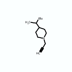 C#CCN1CCC(C(C)C(C)(C)C)CC1